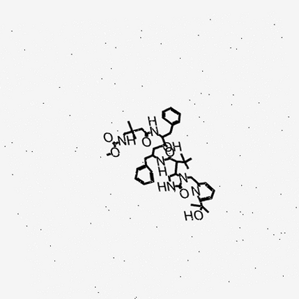 COC(=O)NCC(C)(C)CC(=O)NC(Cc1ccccc1)C(O)CC(Cc1ccccc1)NC(=O)C(C1CNC(=O)N1Cc1cccc(C(C)(C)O)n1)C(C)(C)C